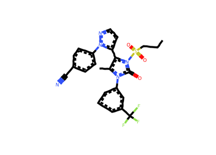 CCCS(=O)(=O)n1c(-c2ccnn2-c2ccc(C#N)cc2)c(C)n(-c2cccc(C(F)(F)F)c2)c1=O